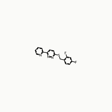 Fc1ccc(CSc2ccc(-c3ccccn3)nn2)c(F)c1